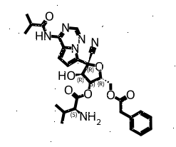 CC(C)C(=O)Nc1ncnn2c([C@]3(C#N)O[C@H](COC(=O)Cc4ccccc4)[C@@H](OC(=O)[C@@H](N)C(C)C)[C@H]3O)ccc12